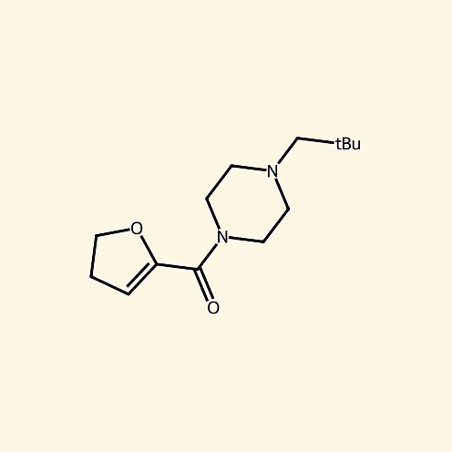 CC(C)(C)CN1CCN(C(=O)C2=CCCO2)CC1